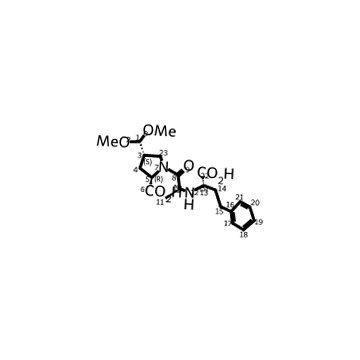 COC(OC)[C@H]1C[C@H](C(=O)O)N(C(=O)[C@H](C)N[C@@H](CCc2ccccc2)C(=O)O)C1